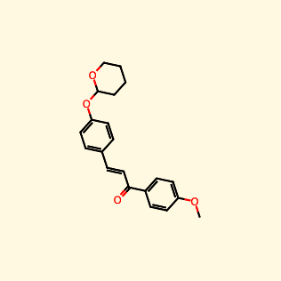 COc1ccc(C(=O)C=Cc2ccc(OC3CCCCO3)cc2)cc1